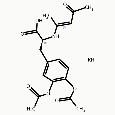 CC(=O)/C=C(\C)N[C@@H](Cc1ccc(OC(C)=O)c(OC(C)=O)c1)C(=O)O.[KH]